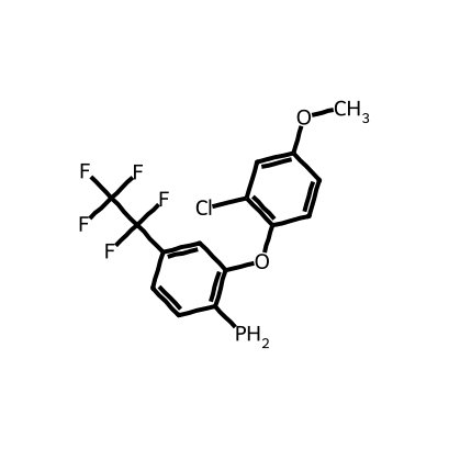 COc1ccc(Oc2cc(C(F)(F)C(F)(F)F)ccc2P)c(Cl)c1